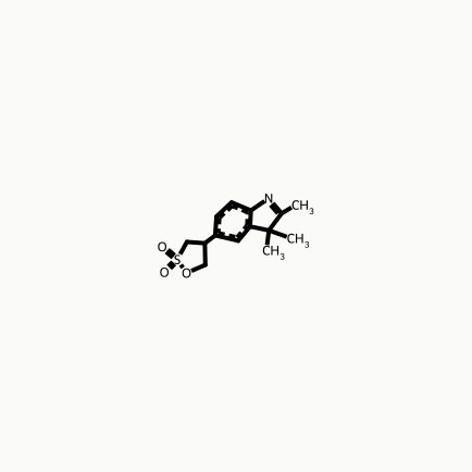 CC1=Nc2ccc(C3COS(=O)(=O)C3)cc2C1(C)C